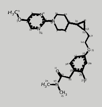 COc1cnc(N2CCC(C3C[C@H]3CCOc3ccc(CC(=O)N(C)C)c(F)c3)CC2)nc1